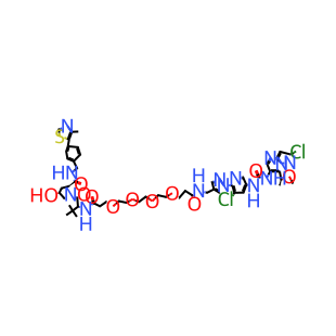 CO[C@@H](C)c1c(NC(=O)Nc2cnc(-n3cc(CNC(=O)CCOCCOCCOCCOCCC(=O)N[C@H](C(=O)N4C[C@H](O)C[C@H]4C(=O)NCc4ccc(-c5scnc5C)cc4)C(C)(C)C)cn3)c(Cl)c2)cnc2cc(Cl)nn12